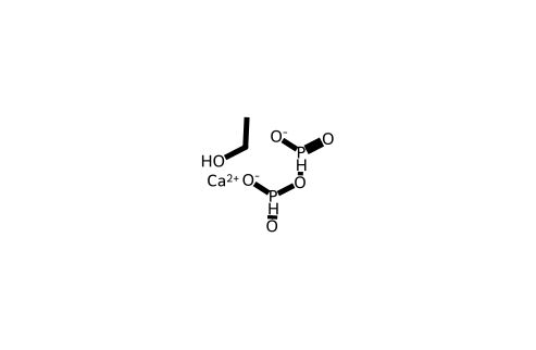 CCO.O=[PH]([O-])O[PH](=O)[O-].[Ca+2]